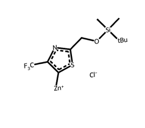 CC(C)(C)[Si](C)(C)OCc1nc(C(F)(F)F)[c]([Zn+])s1.[Cl-]